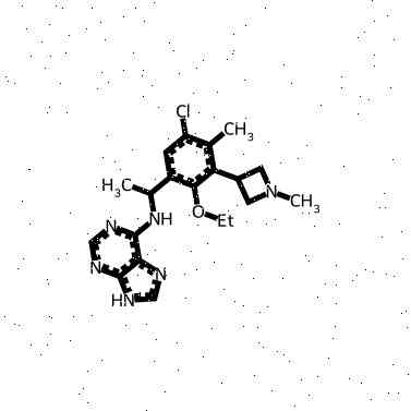 CCOc1c(C(C)Nc2ncnc3[nH]cnc23)cc(Cl)c(C)c1C1CN(C)C1